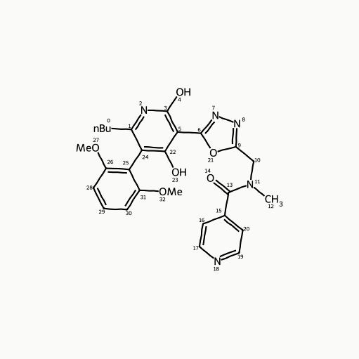 CCCCc1nc(O)c(-c2nnc(CN(C)C(=O)c3ccncc3)o2)c(O)c1-c1c(OC)cccc1OC